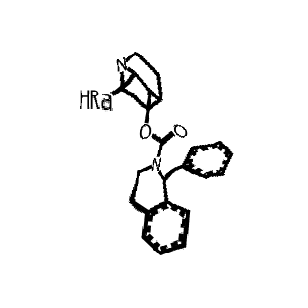 O=C(OC1C2CCN(CC2)[CH]1[RaH])N1CCc2ccccc2C1c1ccccc1